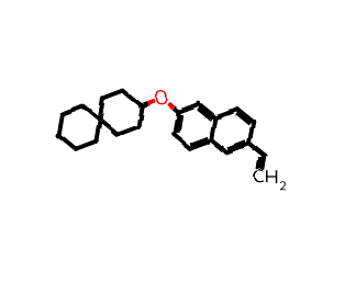 C=Cc1ccc2cc(OC3CCC4(CCCCC4)CC3)ccc2c1